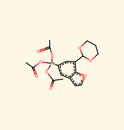 CC(=O)[O][Pb]([O]C(C)=O)([O]C(C)=O)[c]1cc(C2OCCCO2)c2occc2c1